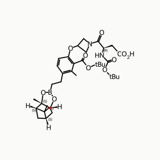 Cc1c(CCB2O[C@@H]3C[C@@H]4C[C@@H](C4(C)C)[C@]3(C)O2)ccc(OC2CN(C(=O)[C@@H](CC(=O)O)NC(=O)OC(C)(C)C)C2)c1C(=O)OC(C)(C)C